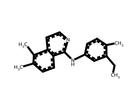 CCc1cc(Nc2nccc3c(C)c(C)ccc23)ccc1C